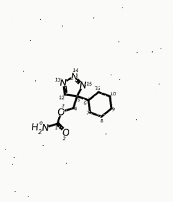 NC(=O)OCC1([C]2CCCCC2)C=NN=N1